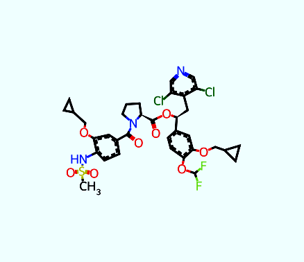 CS(=O)(=O)Nc1ccc(C(=O)N2CCC[C@H]2C(=O)O[C@@H](Cc2c(Cl)cncc2Cl)c2ccc(OC(F)F)c(OCC3CC3)c2)cc1OCC1CC1